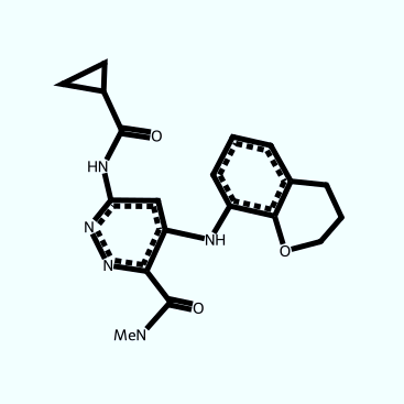 CNC(=O)c1nnc(NC(=O)C2CC2)cc1Nc1cccc2c1OCCC2